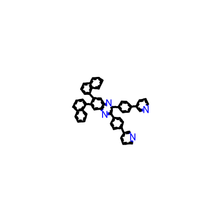 c1cncc(-c2ccc(-c3nc4cc(-c5cccc6ccccc56)c(-c5cccc6ccccc56)cc4nc3-c3ccc(-c4cccnc4)cc3)cc2)c1